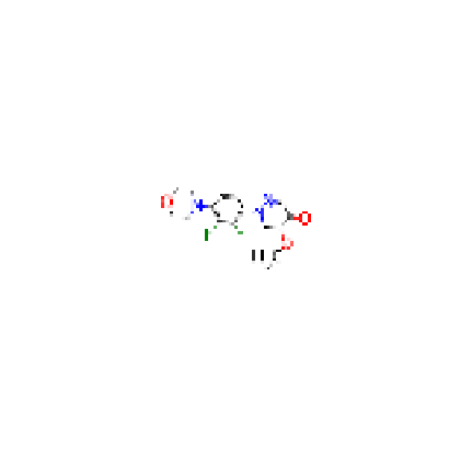 COc1cn(-c2ccc(N3CCOCC3)c(F)c2F)ncc1=O